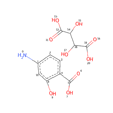 Nc1ccc(C(=O)O)c(O)c1.O=C(O)C(O)C(O)C(=O)O